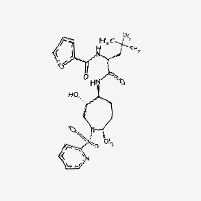 C[C@@H]1CC[C@H](NC(=O)[C@H](CC(C)(C)C)NC(=O)c2ccco2)[C@@H](O)CN1S(=O)(=O)c1ccccn1